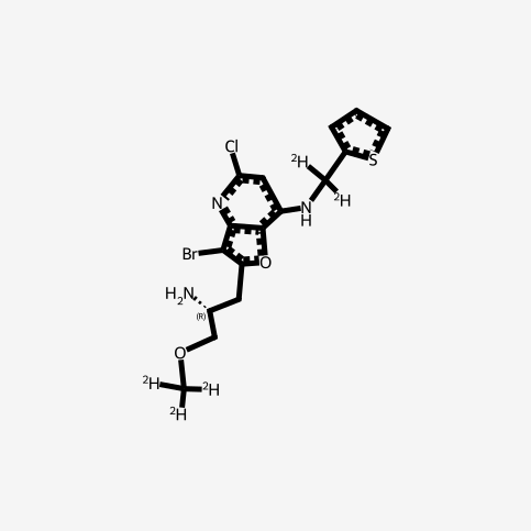 [2H]C([2H])([2H])OC[C@H](N)Cc1oc2c(NC([2H])([2H])c3cccs3)cc(Cl)nc2c1Br